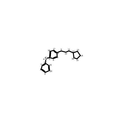 c1ccc(Sc2ccc(CCCC3CCCC3)cc2)cc1